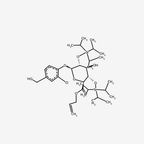 C=CCOC(=O)[C@H]1O[C@@H](Oc2ccc(CO)cc2Cl)[C@H](O[Si](C(C)C)(C(C)C)C(C)C)[C@@H](O)[C@@H]1O[Si](C(C)C)(C(C)C)C(C)C